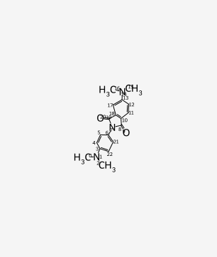 CN(C)c1ccc(N2C(=O)c3ccc(N(C)C)cc3C2=O)cc1